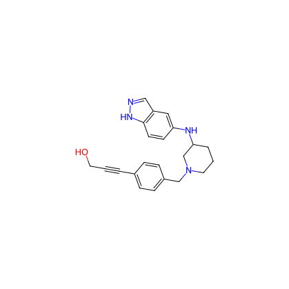 OCC#Cc1ccc(CN2CCCC(Nc3ccc4[nH]ncc4c3)C2)cc1